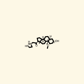 COC[C@]12CC[C@@H](O)C[C@@H]1CC[C@@H]1C2CC[C@]2(C)[C@@H](C(=O)CN3CCNN3)CC[C@@H]12